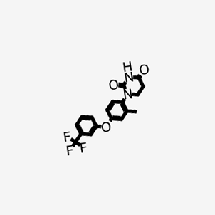 Cc1cc(Oc2cccc(C(F)(F)F)c2)ccc1N1CCC(=O)NC1=O